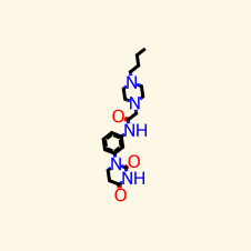 CCCCN1CCN(CC(=O)Nc2cccc(N3CCC(=O)NC3=O)c2)CC1